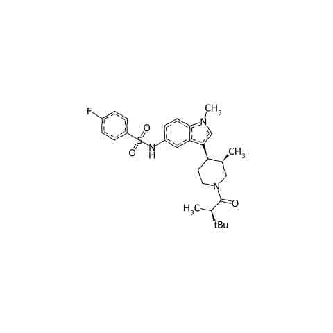 C[C@H]1CN(C(=O)[C@H](C)C(C)(C)C)CC[C@H]1c1cn(C)c2ccc(NS(=O)(=O)c3ccc(F)cc3)cc12